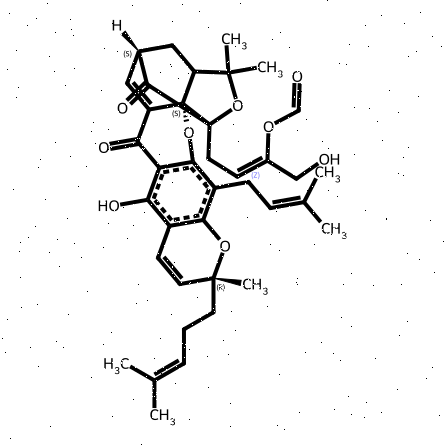 CC(C)=CCC[C@]1(C)C=Cc2c(O)c3c(c(CC=C(C)C)c2O1)O[C@]12C(=C[C@@H]4CC1C(C)(C)OC2(C/C=C(/CO)OC=O)C4=O)C3=O